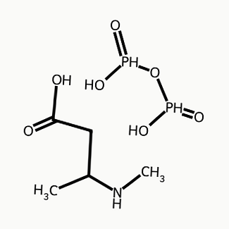 CNC(C)CC(=O)O.O=[PH](O)O[PH](=O)O